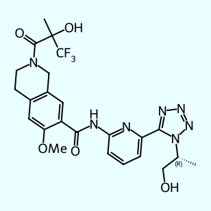 COc1cc2c(cc1C(=O)Nc1cccc(-c3nnnn3[C@H](C)CO)n1)CN(C(=O)C(C)(O)C(F)(F)F)CC2